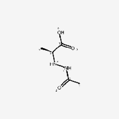 CC(=O)NN[C@@H](C)C(=O)O